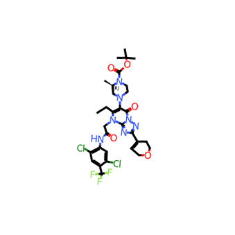 CCc1c(N2CCN(C(=O)OC(C)(C)C)[C@H](C)C2)c(=O)n2nc(C3=CCOCC3)nc2n1CC(=O)Nc1cc(Cl)c(C(F)(F)F)cc1Cl